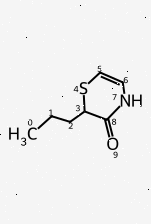 CCCC1SC=CNC1=O